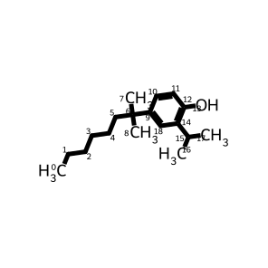 CCCCCCC(C)(C)c1ccc(O)c(C(C)C)c1